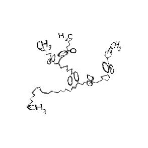 CCCCC/C=C\C/C=C\CCCCCCCCC(CCOC(=O)CC1CCC(OC(=O)C2CCN(C)CC2)C1)OC(=O)CCCCC(COC(=O)CCCCC)COC(=O)CCCCC